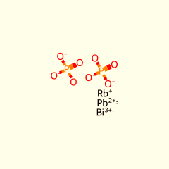 O=P([O-])([O-])[O-].O=P([O-])([O-])[O-].[Bi+3].[Pb+2].[Rb+]